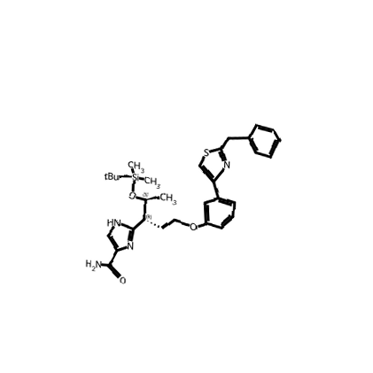 C[C@H](O[Si](C)(C)C(C)(C)C)[C@H](CCOc1cccc(-c2csc(Cc3ccccc3)n2)c1)c1nc(C(N)=O)c[nH]1